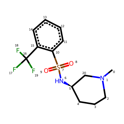 CN1CCC[C@@H](NS(=O)(=O)c2ccccc2C(F)(F)F)C1